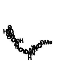 COc1ccc(Cn2nc(C)c3nc(NC4CCN(c5ccc(CN6CCC(O)(c7ccc8c(c7)CN(C7CCC(=O)NC7=O)C8=O)CC6)cc5)CC4)ncc32)cc1